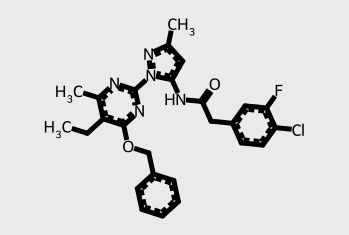 CCc1c(C)nc(-n2nc(C)cc2NC(=O)Cc2ccc(Cl)c(F)c2)nc1OCc1ccccc1